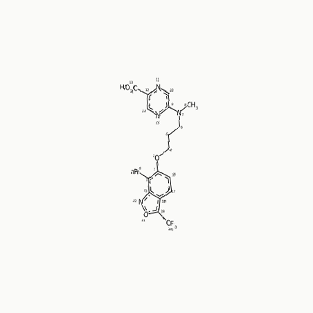 CCCc1c(OCCCN(C)c2cnc(C(=O)O)cn2)ccc2c(C(F)(F)F)onc12